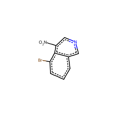 O=[N+]([O-])c1cncc2cccc(Br)c12